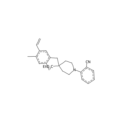 C=Cc1cc(CC2(C(=O)OCC)CCN(c3ccccc3C#N)CC2)c(C)cc1C